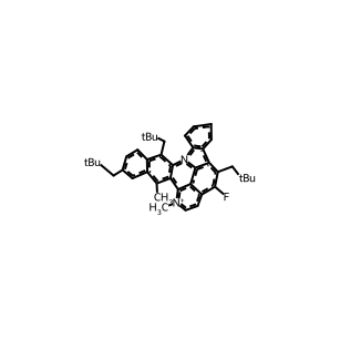 Cc1c2cc(CC(C)(C)C)ccc2c(CC(C)(C)C)c2c1c1c3c(cc[n+]1C)c(F)c(CC(C)(C)C)c1c4ccccc4n2c13